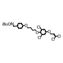 CC(C)CO/N=C/c1ccc(OCCCCOc2c(Cl)cc(OCC=C(Cl)Cl)cc2Cl)cc1